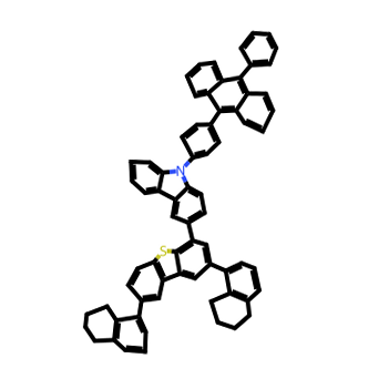 c1ccc(-c2c3ccccc3c(-c3ccc(-n4c5ccccc5c5cc(-c6cc(-c7cccc8c7CCCC8)cc7c6sc6ccc(-c8cccc9c8CCCC9)cc67)ccc54)cc3)c3ccccc23)cc1